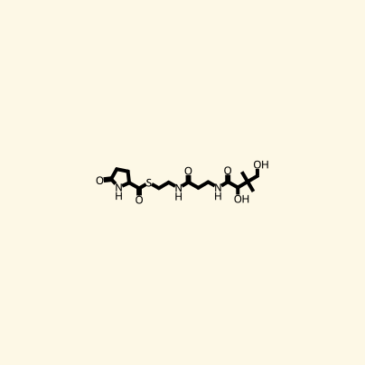 CC(C)(CO)C(O)C(=O)NCCC(=O)NCCSC(=O)C1CCC(=O)N1